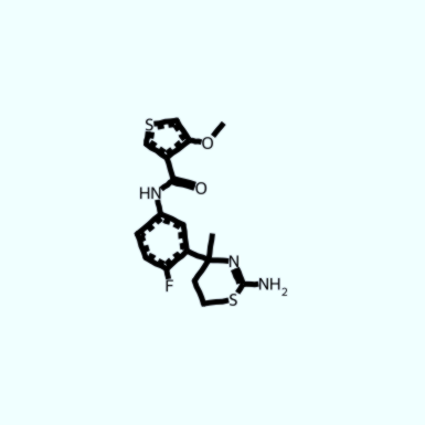 COc1cscc1C(=O)Nc1ccc(F)c(C2(C)CCSC(N)=N2)c1